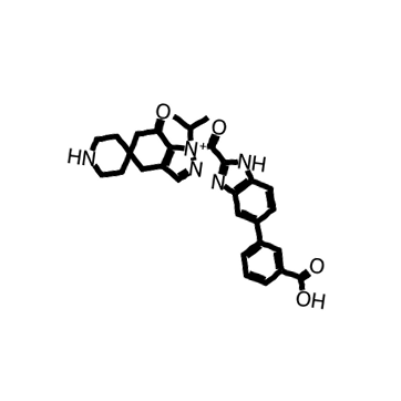 CC(C)[N+]1(C(=O)c2nc3cc(-c4cccc(C(=O)O)c4)ccc3[nH]2)N=CC2=C1C(=O)CC1(CCNCC1)C2